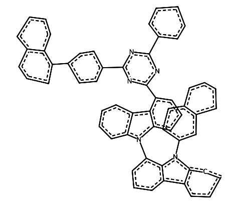 c1ccc(-c2nc(-c3ccc(-c4cccc5ccccc45)cc3)nc(-c3cccc4c3c3ccccc3n4-c3cccc4c5ccccc5n(-c5ccc6ccccc6c5)c34)n2)cc1